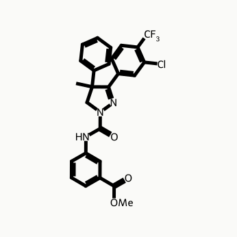 COC(=O)c1cccc(NC(=O)N2CC(C)(c3ccccc3)C(c3ccc(C(F)(F)F)c(Cl)c3)=N2)c1